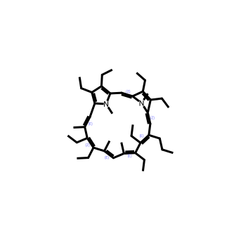 CCCC1=C(CC)\C(CC)=C(C)\C=C(C)\C(CC)=C(CC)/C(C)=C/c2c(CC)c(CC)c(n2C)/C=c2/c(CC)c(CC)\c(n2C)=C\1